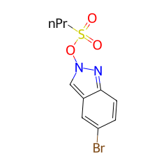 CCCS(=O)(=O)On1cc2cc(Br)ccc2n1